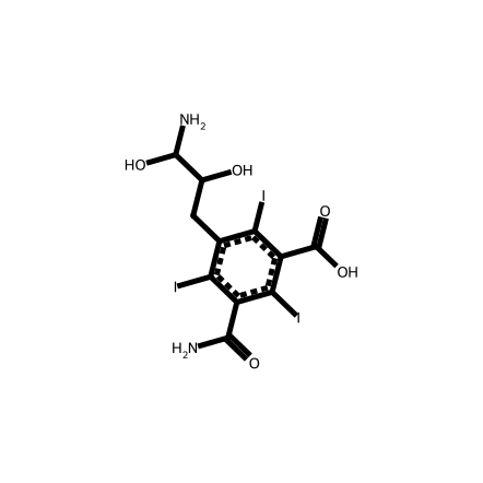 NC(=O)c1c(I)c(CC(O)C(N)O)c(I)c(C(=O)O)c1I